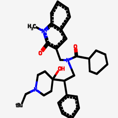 Cn1c(=O)c(CN(CC(c2ccccc2)C2(O)CCN(CC(C)(C)C)CC2)C(=O)C2CCCCC2)cc2ccccc21